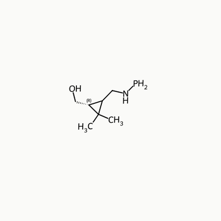 CC1(C)C(CNP)[C@H]1CO